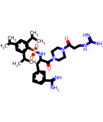 CC(C)c1cc(C(C)C)c(S(=O)(=O)NC(Cc2cccc(C(=N)N)c2)C(=O)N2CCN(C(=O)CCNC(=N)N)CC2)c(C(C)C)c1